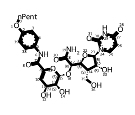 CCCCCOc1ccc(NC(=O)C2=C[C@H](O)[C@H](O)[C@@H](O[C@@H](C(N)=O)[C@H]3O[C@@H](n4ccc(=O)[nH]c4=O)[C@H](O)[C@@H]3CO)O2)cc1